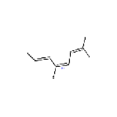 CC=C/C(F)=C\C=C(C)C